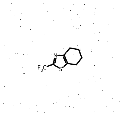 FC(F)(F)c1nc2c(s1)CC[C]C2